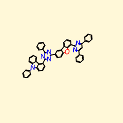 c1ccc(-c2cc(-c3ccccc3)nc(-c3cccc4c3oc3ccc(-c5nc(-c6ccccc6)nc(-c6cccc7c6c6ccccc6n7-c6ccccc6)n5)cc34)n2)cc1